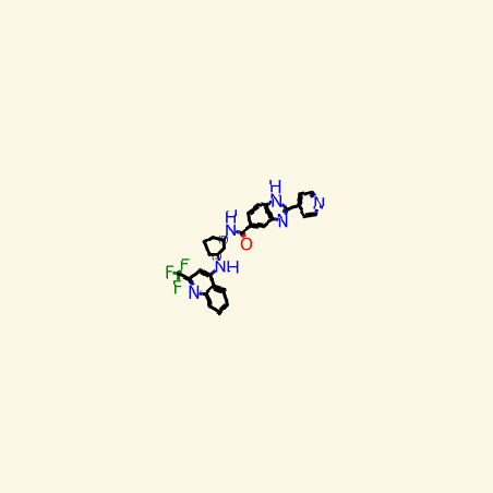 O=C(N[C@@H]1CCC[C@H](Nc2cc(C(F)(F)F)nc3ccccc23)C1)c1ccc2[nH]c(-c3ccncc3)nc2c1